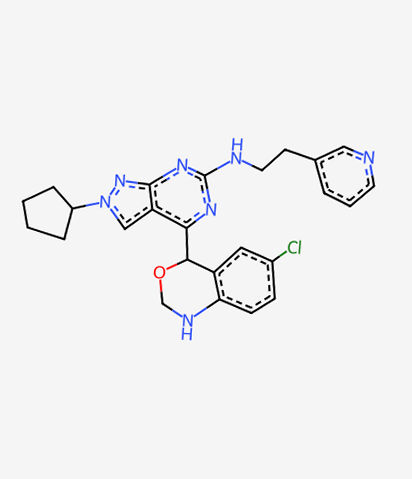 Clc1ccc2c(c1)C(c1nc(NCCc3cccnc3)nc3nn(C4CCCC4)cc13)OCN2